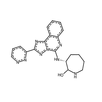 OC1NCCCC[C@H]1Nc1nc2ccccc2c2nc(-c3cccnn3)nn12